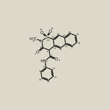 CN1C(=O)C(C(=O)Nc2ccccc2)c2cc3ccccc3cc2S1(=O)=O